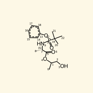 CC(CO)OC(=O)[C@H](C)NP(=O)(Oc1ccccc1)C(C)(C)C